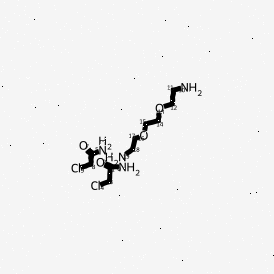 NC(=O)CCl.NC(=O)CCl.NCCOCCOCCN